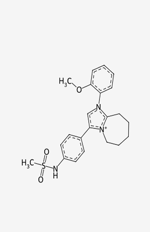 COc1ccccc1-n1cc(-c2ccc(NS(C)(=O)=O)cc2)[n+]2c1CCCCC2